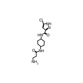 NCCC(=O)NC1CCC(NC(=O)c2cc(Cl)[nH]n2)CC1